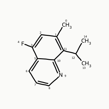 Cc1cc(F)c2cccnc2c1C(C)C